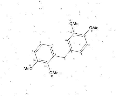 COc1ccc(Cc2cccc(OC)c2OC)cc1OC